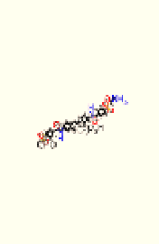 NC(=O)CS(=O)(=O)c1ccc(C(=O)Nc2ccc(/C=C/c3ccc(NC(=O)c4ccc(S(=O)(=O)CC=O)cc4)cc3S(=O)(=O)O)c(S(=O)(=O)O)c2)cc1